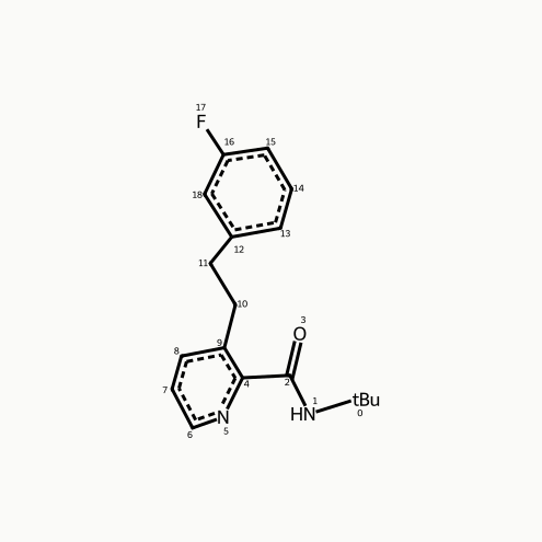 CC(C)(C)NC(=O)c1ncccc1CCc1cccc(F)c1